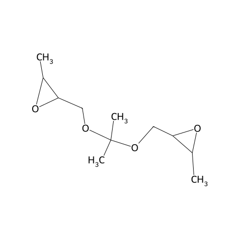 CC1OC1COC(C)(C)OCC1OC1C